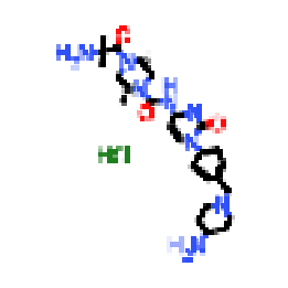 C[C@@H]1CN(C(=O)Nc2ccn(-c3ccc(CN4CCC(N)CC4)cc3)c(=O)n2)[C@@H](C)CN1C(=O)C(C)(C)N.Cl